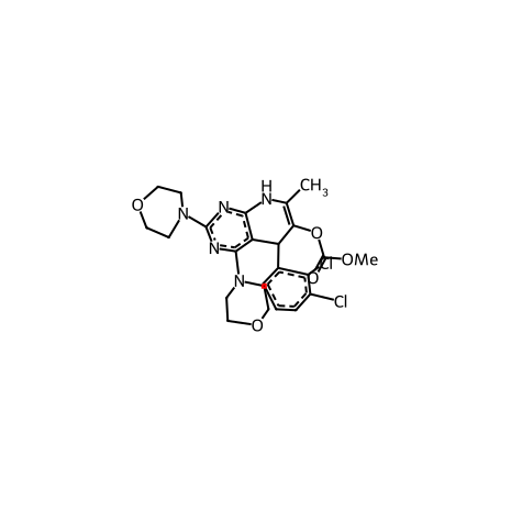 COC(=O)OC1=C(C)Nc2nc(N3CCOCC3)nc(N3CCOCC3)c2C1c1cccc(Cl)c1Cl